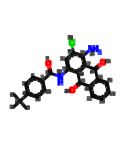 CC(C)(C)c1ccc(C(=O)Nc2cc(Cl)c(N)c3c2C(=O)c2ccccc2C3=O)cc1